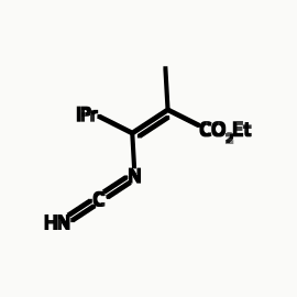 CCOC(=O)C(C)=C(N=C=N)C(C)C